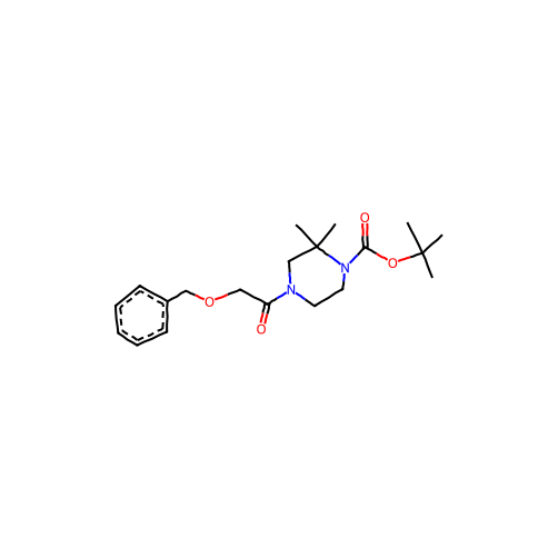 CC(C)(C)OC(=O)N1CCN(C(=O)COCc2ccccc2)CC1(C)C